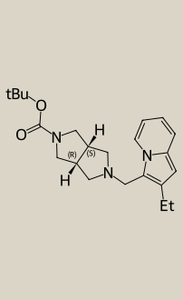 CCc1cc2ccccn2c1CN1C[C@@H]2CN(C(=O)OC(C)(C)C)C[C@@H]2C1